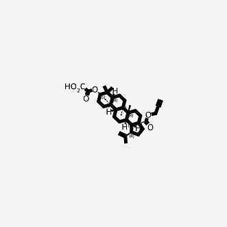 C#CCOC(=O)[C@]12CC[C@@H](C(=C)C)[C@@H]1[C@H]1CC[C@@H]3[C@@]4(C)CC[C@H](OC(=O)C(=O)O)C(C)(C)[C@@H]4CC[C@@]3(C)[C@]1(C)CC2